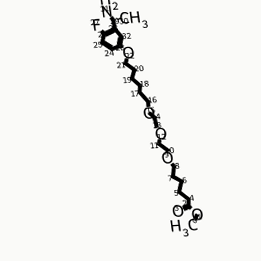 COC(=O)CCCCCOCCOCCOCCCCCCOc1ccc(F)c([C@@H](C)N)c1